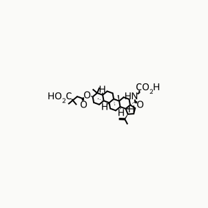 C=C(C)[C@@H]1CC[C@]2(C(=O)NCC(=O)O)CC[C@]3(C)[C@H](CC[C@@H]4[C@@]5(C)CC[C@H](OC(=O)CC(C)(C)C(=O)O)C(C)(C)[C@@H]5CC[C@]43C)[C@@H]12